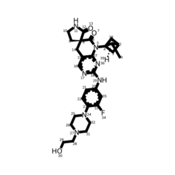 C[C@@H]1C2CC1(N1C(=O)[C@]3(CCNC3=O)Cc3cnc(Nc4ccc(N5CCN(CCO)CC5)c(F)c4)nc31)C2